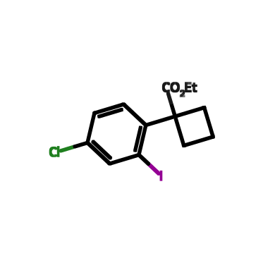 CCOC(=O)C1(c2ccc(Cl)cc2I)CCC1